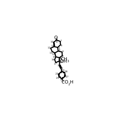 C[C@]12CCC3C4CCC(=O)C=C4CCC3C1CC[C@@]2(O)C#Cc1ccc(C(=O)O)cc1